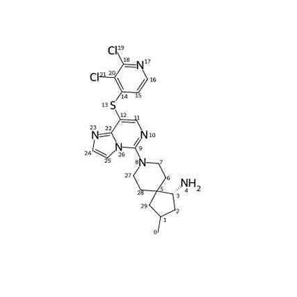 CC1C[C@@H](N)C2(CCN(c3ncc(Sc4ccnc(Cl)c4Cl)c4nccn34)CC2)C1